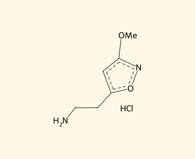 COc1cc(CCN)on1.Cl